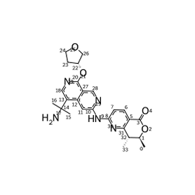 C[C@@H]1OC(=O)c2ccc(Nc3cc4c(C(C)(C)N)cnc(O[C@@H]5CCOC5)c4cn3)nc2[C@H]1C